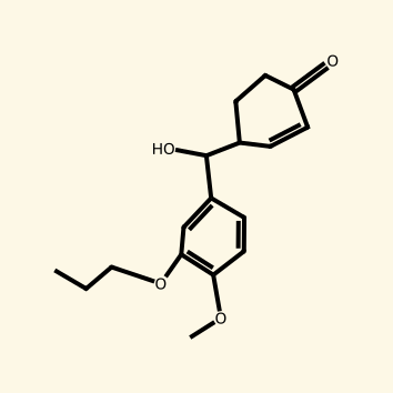 CCCOc1cc(C(O)C2C=CC(=O)CC2)ccc1OC